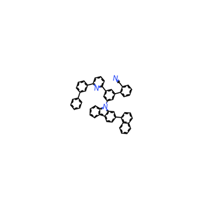 N#Cc1ccccc1-c1cc(-c2cccc(-c3cccc(-c4ccccc4)c3)n2)cc(-n2c3ccccc3c3ccc(-c4cccc5ccccc45)cc32)c1